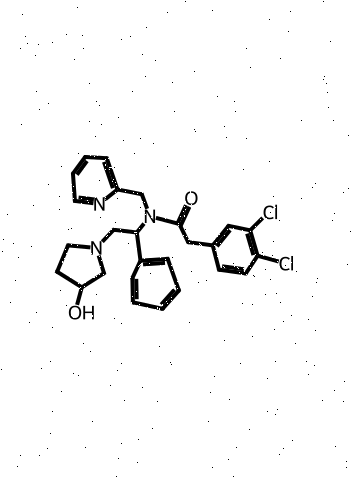 O=C(Cc1ccc(Cl)c(Cl)c1)N(Cc1ccccn1)C(CN1CCC(O)C1)c1ccccc1